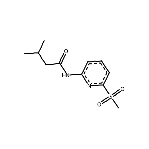 CC(C)CC(=O)Nc1cccc(S(C)(=O)=O)n1